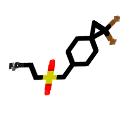 O=S(=O)(CCC(F)(F)F)CC1CCC2(CC1)CC2(Br)Br